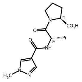 CC(C)[C@H](NC(=O)c1cnn(C)c1)C(=O)N1CCC[C@H]1C(=O)O